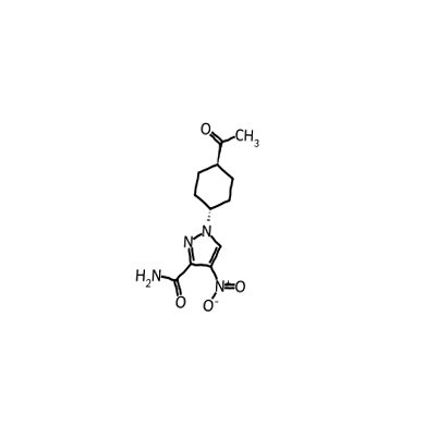 CC(=O)[C@H]1CC[C@H](n2cc([N+](=O)[O-])c(C(N)=O)n2)CC1